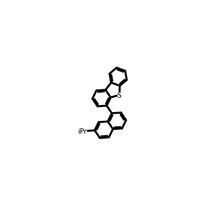 CC(C)c1ccc2cccc(-c3cccc4c3sc3ccccc34)c2c1